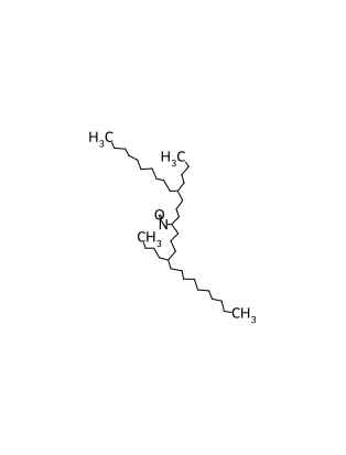 CCCCCCCCCCC(CCCC)CCCC(CCCC(CCCC)CCCCCCCCCC)N=O